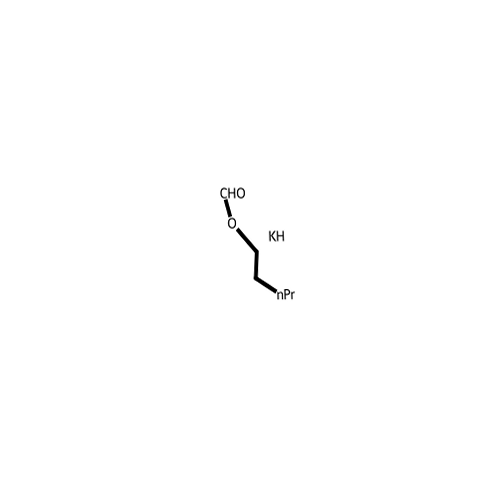 CCCCCOC=O.[KH]